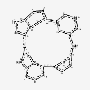 c1cc2[nH]c3cc2c(n1)c1ccc([nH]c2cncc(c2)c2cc4c(cn2)[nH]nc34)s1